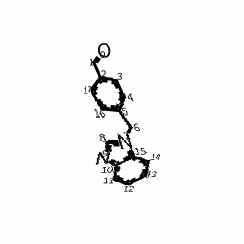 O=Cc1ccc(Cn2cnc3ccccc32)cc1